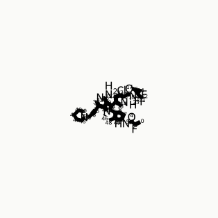 C=C(F)C(=O)Nc1ccc(-c2c(-c3cnc(C(=O)NC4(C(F)(F)F)CC4)c(Cl)c3)c3c(N)ncc(C#CCN4CCCCC4)c3n2C)c(C)c1